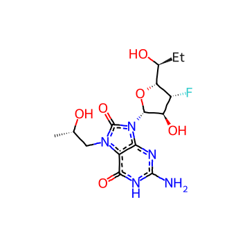 CC[C@H](O)[C@H]1O[C@@H](n2c(=O)n(C[C@H](C)O)c3c(=O)[nH]c(N)nc32)[C@H](O)[C@H]1F